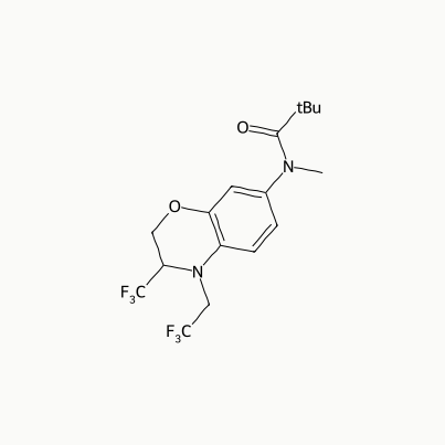 CN(C(=O)C(C)(C)C)c1ccc2c(c1)OCC(C(F)(F)F)N2CC(F)(F)F